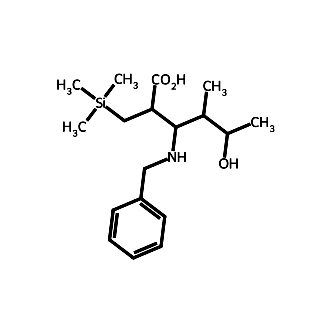 CC(O)C(C)C(NCc1ccccc1)C(C[Si](C)(C)C)C(=O)O